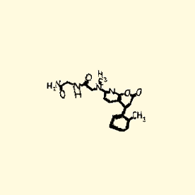 Cc1ccccc1-c1cc(=O)oc2nc(N(C)CC(=O)NCC(N)=O)ccc12